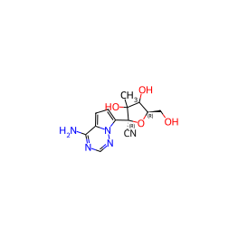 CC1(O)C(O)[C@@H](CO)O[C@@]1(C#N)c1ccc2c(N)ncnn12